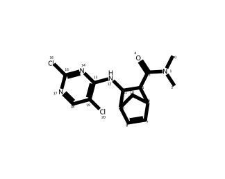 CN(C)C(=O)C1C2C=CC(C2)C1Nc1nc(Cl)ncc1Cl